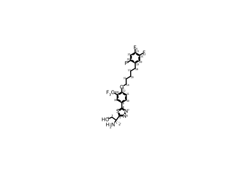 C[C@](N)(CO)c1nnc(-c2ccc(OCCCCCc3cc(F)c(F)cc3F)c(C(F)(F)F)c2)s1